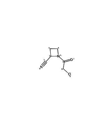 N#CC1CCN1C(=O)CCl